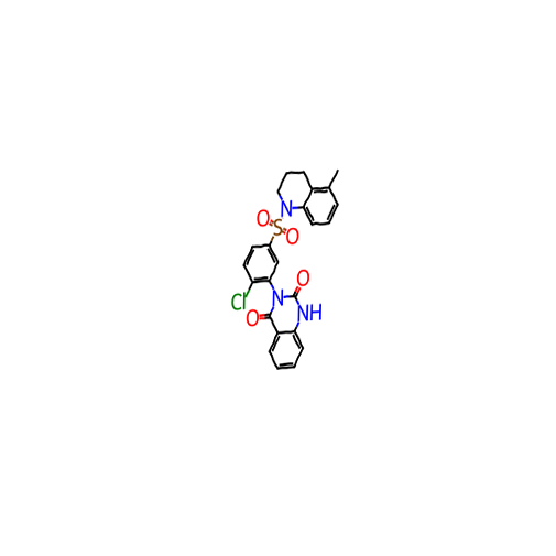 Cc1cccc2c1CCCN2S(=O)(=O)c1ccc(Cl)c(-n2c(=O)[nH]c3ccccc3c2=O)c1